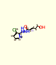 O=C(/C=C/CCO)NNc1ncccc1Cl